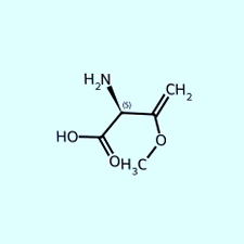 C=C(OC)[C@H](N)C(=O)O